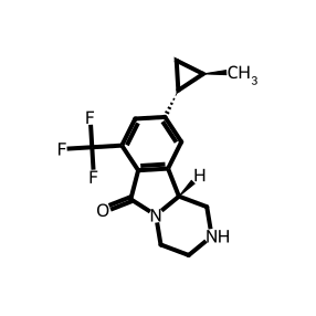 C[C@@H]1C[C@H]1c1cc2c(c(C(F)(F)F)c1)C(=O)N1CCNC[C@@H]21